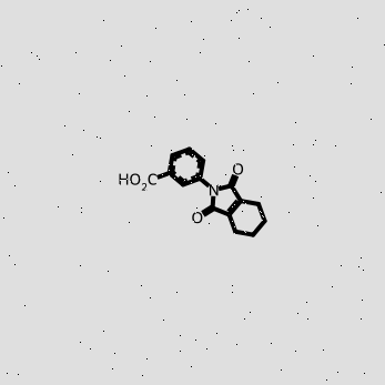 O=C(O)c1cccc(N2C(=O)C3=C(CCCC3)C2=O)c1